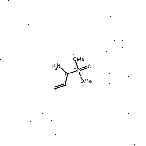 C=CC(N)P(=O)(OC)OC